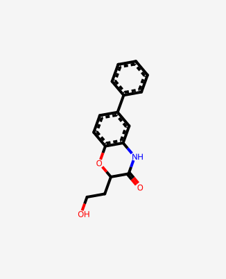 O=C1Nc2cc(-c3ccccc3)ccc2OC1CCO